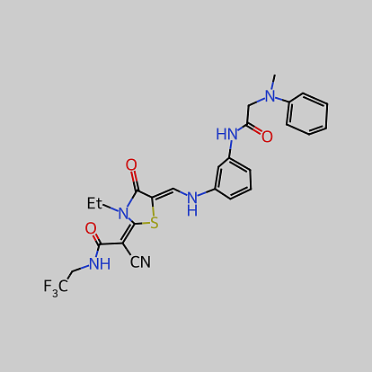 CCn1c(=C(C#N)C(=O)NCC(F)(F)F)sc(=CNc2cccc(NC(=O)CN(C)c3ccccc3)c2)c1=O